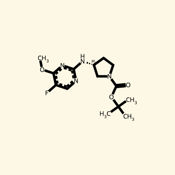 COc1nc(N[C@@H]2CCN(C(=O)OC(C)(C)C)C2)ncc1F